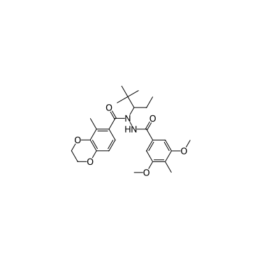 CCC(N(NC(=O)c1cc(OC)c(C)c(OC)c1)C(=O)c1ccc2c(c1C)OCCO2)C(C)(C)C